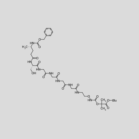 C[C@@H](CCC(=O)N[C@@H](CO)C(=O)NCC(=O)NCC(=O)NCC(=O)NCC(=O)NCCONC(=O)OC(C)(C)C(=O)OC(C)(C)C)NC(=O)OCc1ccccc1